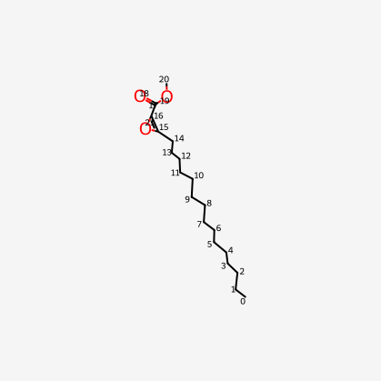 CCCCCCCCCCCCCCCC1=C(C(=O)OC)O1